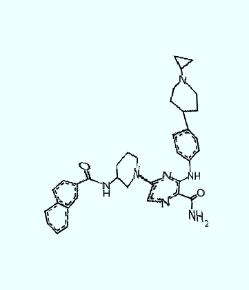 NC(=O)c1ncc(N2CCCC(NC(=O)c3ccc4ccccc4c3)C2)nc1Nc1ccc(C2CCN(C3CC3)CC2)cc1